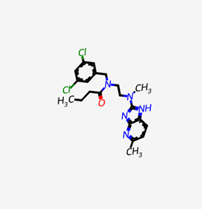 CCCC(=O)N(CCN(C)c1nc2nc(C)ccc2[nH]1)Cc1cc(Cl)cc(Cl)c1